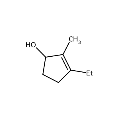 CCC1=C(C)C(O)CC1